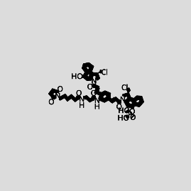 O=C(CCCCCN1C(=O)C=CC1=O)NCCC(=O)Nc1cc(/C=C/C(=O)N2C[C@@H](CCl)c3c2cc(OP(=O)(O)O)c2ccccc32)ccc1/C=C/C(=O)N1C[C@@H](CCl)c2c1cc(O)c1ccccc21